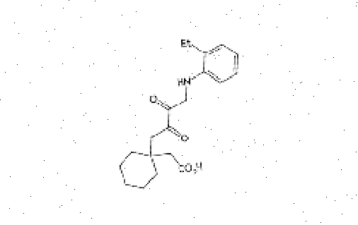 [CH2]Cc1ccccc1NCC(=O)C(=O)CC1(CC(=O)O)CCCCC1